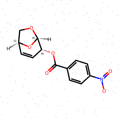 O=C(O[C@@H]1C=C[C@H]2CO[C@@H]1O2)c1ccc([N+](=O)[O-])cc1